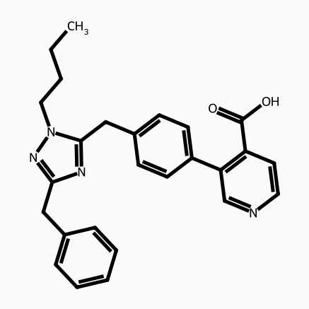 CCCCn1nc(Cc2ccccc2)nc1Cc1ccc(-c2cnccc2C(=O)O)cc1